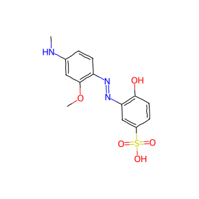 CNc1ccc(N=Nc2cc(S(=O)(=O)O)ccc2O)c(OC)c1